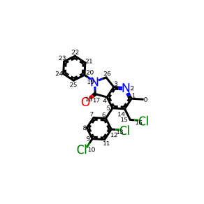 Cc1nc2c(c(-c3ccc(Cl)cc3Cl)c1CCl)C(=O)N(c1ccccc1)C2